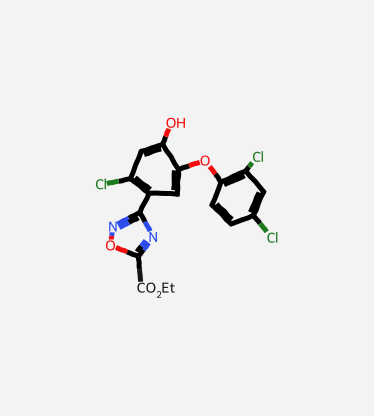 CCOC(=O)c1nc(-c2cc(Oc3ccc(Cl)cc3Cl)c(O)cc2Cl)no1